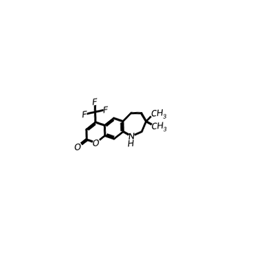 CC1(C)CCc2cc3c(C(F)(F)F)cc(=O)oc3cc2NC1